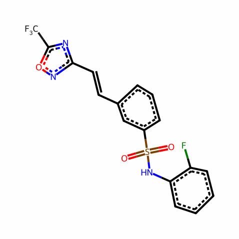 O=S(=O)(Nc1ccccc1F)c1cccc(/C=C/c2noc(C(F)(F)F)n2)c1